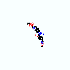 CCO/N=C/c1ccc(C(=O)Nc2ccc3c(c2)CN(CC(=O)OCC)CC3)cc1